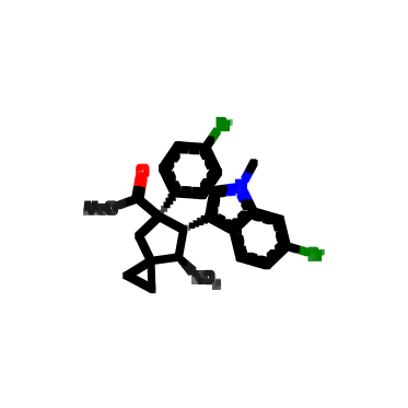 COC(=O)[C@]1(c2ccc(Br)cc2)CC2(CC2)[C@H]([N+](=O)[O-])[C@H]1c1cn(C)c2cc(Br)ccc12